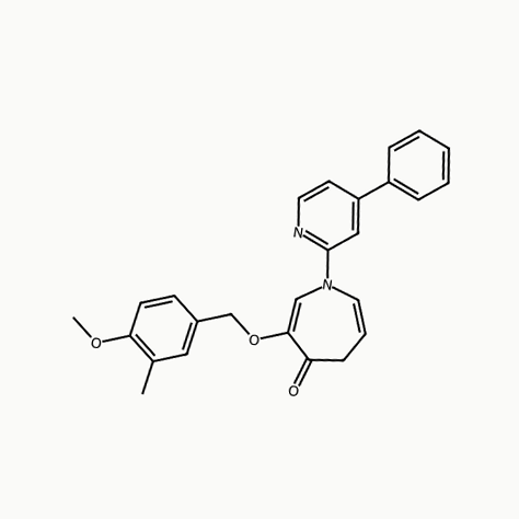 COc1ccc(COC2=CN(c3cc(-c4ccccc4)ccn3)C=CCC2=O)cc1C